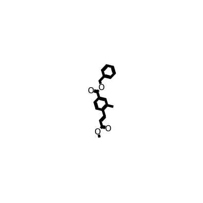 COC(=O)/C=C/c1ccc(C(=O)OCc2ccccc2)cc1C